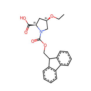 CCO[C@@H]1C[C@H](C(=O)O)N(C(=O)OCC2c3ccccc3-c3ccccc32)C1